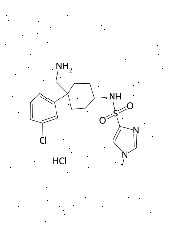 Cl.Cn1cnc(S(=O)(=O)NC2CCC(CN)(c3cccc(Cl)c3)CC2)c1